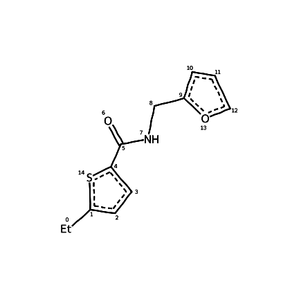 CCc1ccc(C(=O)NCc2ccco2)s1